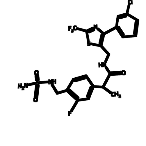 CC(C(=O)NCc1sc(C(F)(F)F)nc1-c1cccc(Cl)c1)c1ccc(CNS(N)(=O)=O)c(F)c1